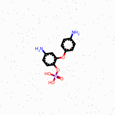 Nc1ccc(Oc2cc(N)ccc2OP(=O)(O)O)cc1